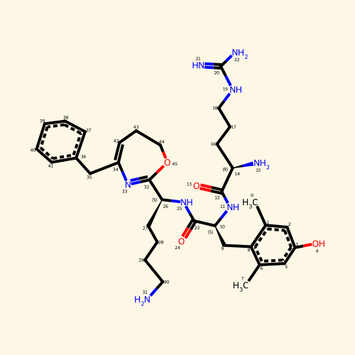 Cc1cc(O)cc(C)c1C[C@H](NC(=O)[C@H](N)CCCNC(=N)N)C(=O)N[C@@H](CCCCN)C1=NC(Cc2ccccc2)=CCCO1